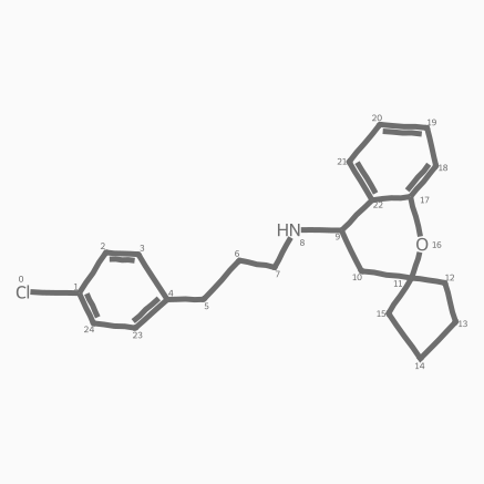 Clc1ccc(CCCNC2CC3(CCCC3)Oc3ccccc32)cc1